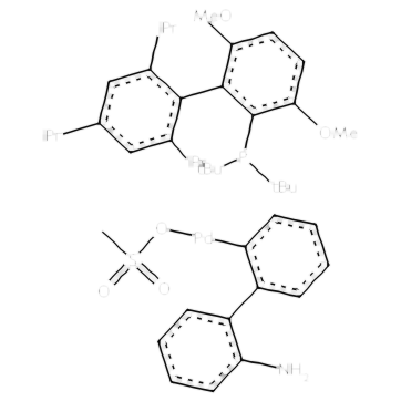 COc1ccc(OC)c(P(C(C)(C)C)C(C)(C)C)c1-c1c(C(C)C)cc(C(C)C)cc1C(C)C.CS(=O)(=O)[O][Pd][c]1ccccc1-c1ccccc1N